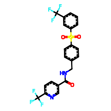 O=C(NCc1ccc(S(=O)(=O)c2cccc(C(F)(F)F)c2)cc1)c1ccc(C(F)(F)F)nc1